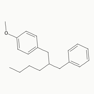 CCCCC(Cc1ccccc1)Cc1ccc(OC)cc1